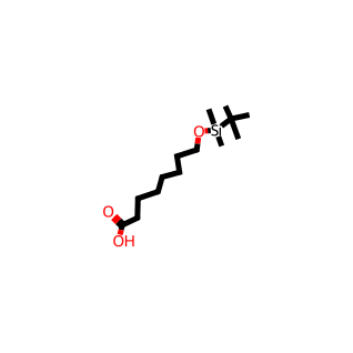 CC(C)(C)[Si](C)(C)OCCCCCCCC(=O)O